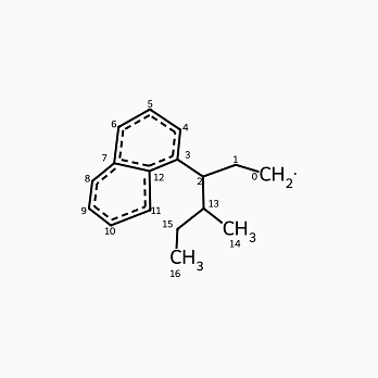 [CH2]CC(c1cccc2ccccc12)C(C)CC